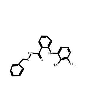 Cc1cccc(Nc2ccccc2C(=O)NOCc2ccccc2)c1C